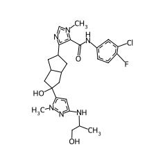 CC(CO)Nc1cc(C2(O)CC3CC(c4ncn(C)c4C(=O)Nc4ccc(F)c(Cl)c4)CC3C2)n(C)n1